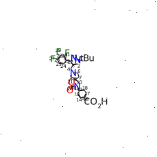 CC(C)(C)n1cc(CN2CCC3(C2)CN(c2ccc(C(=O)O)cc2)C(=O)O3)c(-c2ccc(F)c(F)c2F)n1